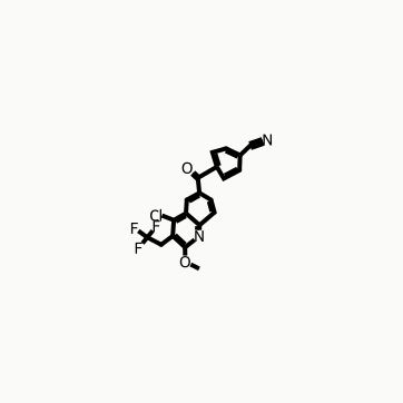 COc1nc2ccc(C(=O)c3ccc(C#N)cc3)cc2c(Cl)c1CC(F)(F)F